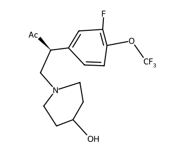 CC(=O)[C@H](CN1CCC(O)CC1)c1ccc(OC(F)(F)F)c(F)c1